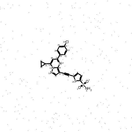 NS(=O)(=O)c1ccc(C#Cc2cnn3c(C4CC4)cc(-c4ccc(Cl)cc4)nc23)s1